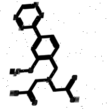 COc1cc(-c2nncnn2)ccc1CN(CC(=O)O)CC(=O)O